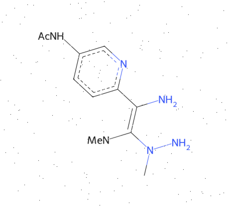 CN/C(=C(/N)c1ccc(NC(C)=O)cn1)N(C)N